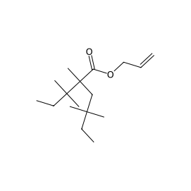 C=CCOC(=O)C(C)(CC(C)(C)CC)C(C)(C)CC